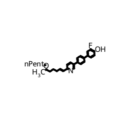 CCCCCOC(C)CCC/C=C/c1ccc(-c2ccc(-c3ccc(O)c(F)c3)cc2)cn1